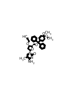 C#CCO[C@H]1C[C@H](n2cc(C)c(N)nc2=O)O[C@@H]1COC(C1=CCC(OC)(OC)C=C1)(c1ccccc1)c1ccccc1